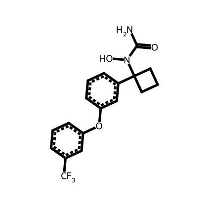 NC(=O)N(O)C1(c2cccc(Oc3cccc(C(F)(F)F)c3)c2)CCC1